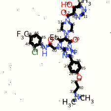 CCc1c(N2CCN(C(=O)c3ncnc(C)c3O)CC2)c(=O)n2nc(-c3ccc(OCCCN(C)C)cc3)nc2n1CC(=O)Nc1ccc(C(F)(F)F)cc1Cl